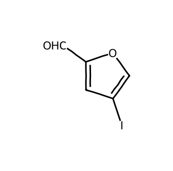 O=Cc1cc(I)co1